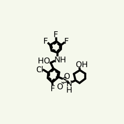 O=S(=O)(NC1CCCC(O)C1)c1cc(C(O)Nc2cc(F)c(F)c(F)c2)c(Cl)cc1F